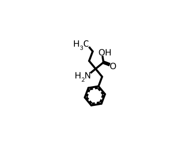 CCCC(N)(Cc1ccccc1)C(=O)O